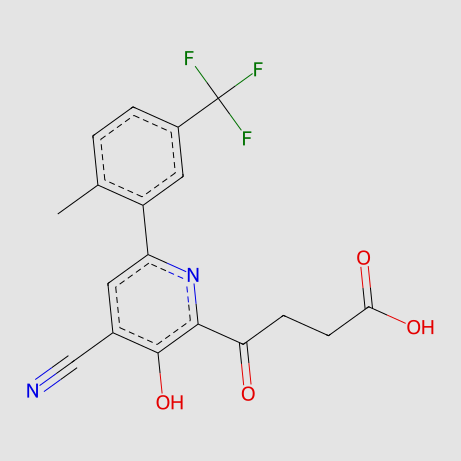 Cc1ccc(C(F)(F)F)cc1-c1cc(C#N)c(O)c(C(=O)CCC(=O)O)n1